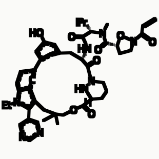 C=CC(=O)N1CC[C@H](C(=O)N(C)[C@H](C(=O)N[C@H]2Cc3cc(O)cc(c3)-c3ccc4c(c3)c(c(-c3cncnc3)n4CC)CC(C)(C)COC(=O)[C@@H]3CCCN(N3)C2=O)C(C)C)O1